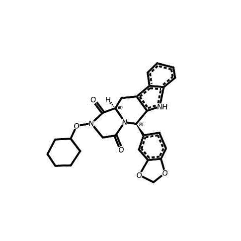 O=C1[C@H]2Cc3c([nH]c4ccccc34)[C@@H](c3ccc4c(c3)OCO4)N2C(=O)CN1OC1CCCCC1